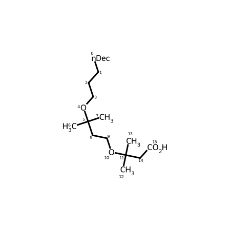 CCCCCCCCCCCCCOC(C)(C)CCOC(C)(C)CC(=O)O